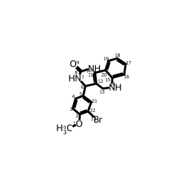 COc1ccc(C2NC(=O)NC3=C2CNc2ccccc23)cc1Br